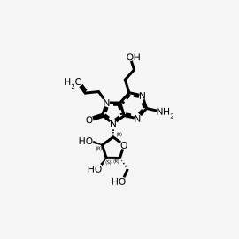 C=CCn1c(=O)n([C@@H]2O[C@H](CO)[C@@H](O)[C@H]2O)c2nc(N)nc(CCO)c21